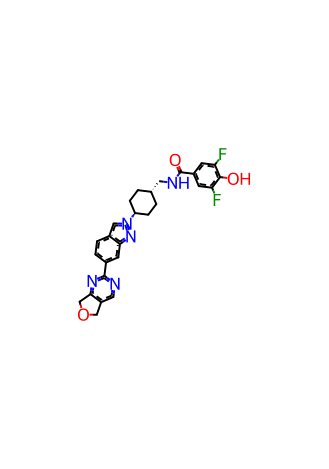 O=C(NC[C@H]1CC[C@H](n2cc3ccc(-c4ncc5c(n4)COC5)cc3n2)CC1)c1cc(F)c(O)c(F)c1